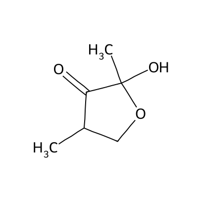 CC1COC(C)(O)C1=O